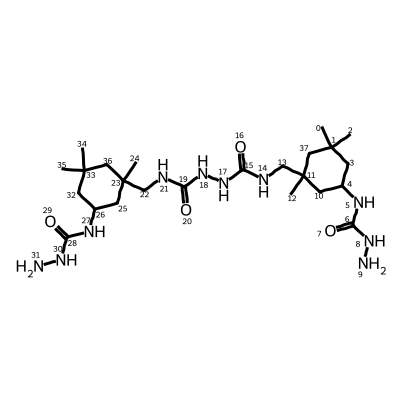 CC1(C)CC(NC(=O)NN)CC(C)(CNC(=O)NNC(=O)NCC2(C)CC(NC(=O)NN)CC(C)(C)C2)C1